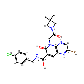 CC1(C)CN(C(=O)Cn2c(=O)c(C(=O)NCc3ccc(Cl)cc3)cc3nc(Br)cnc32)C1